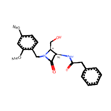 COc1ccc(CN2C(=O)[C@H](NC(=O)Cc3ccccc3)[C@@H]2CO)c(OC)c1